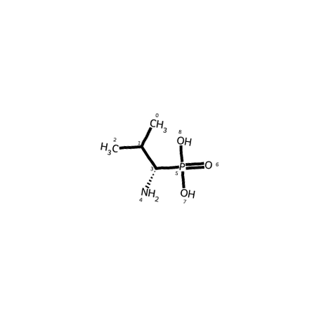 CC(C)[C@@H](N)P(=O)(O)O